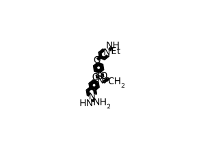 C=CCN(c1ccc2c(c1)CN(C(=N)N)CC2)S(=O)(=O)c1ccc(OC2CCN(C(=N)CC)CC2)cc1